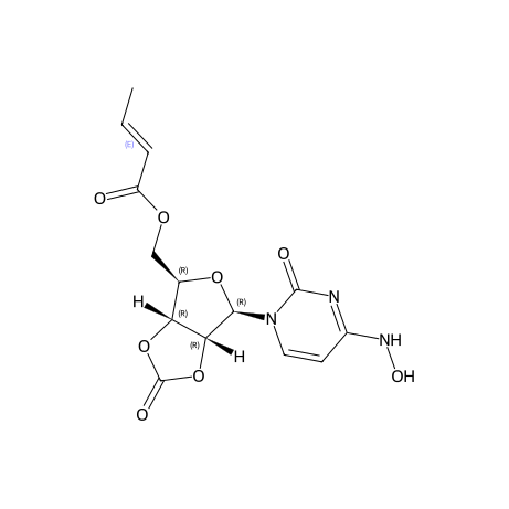 C/C=C/C(=O)OC[C@H]1O[C@@H](n2ccc(NO)nc2=O)[C@@H]2OC(=O)O[C@@H]21